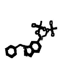 CS(=O)(=O)OC[C@@H](OS(C)(=O)=O)c1ccc2cnn(Cc3ccccc3)c2c1